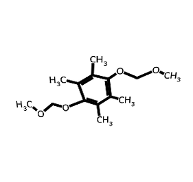 COCOc1c(C)c(C)c(OCOC)c(C)c1C